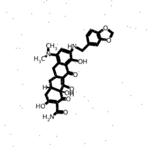 CN(C)c1cc(NCc2ccc3c(c2)OCO3)c(O)c2c1CC1C[C@H]3CC(O)=C(C(N)=O)C(=O)[C@@]3(O)C(O)=C1C2=O